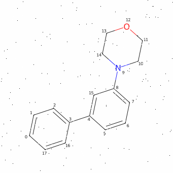 c1ccc(-c2cccc(N3CCOCC3)c2)cc1